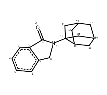 O=C1c2ccccc2CN1C12CC3CC(CC1C3)C2